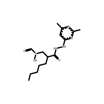 CCCCCC(CN(O)C=O)C(=O)NNc1cc(C)nc(C)n1